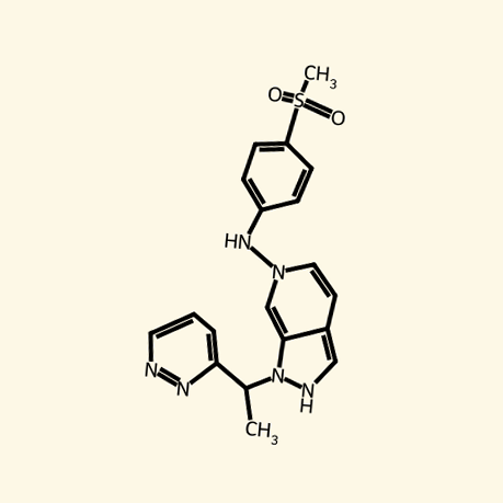 CC(c1cccnn1)N1NC=C2C=CN(Nc3ccc(S(C)(=O)=O)cc3)C=C21